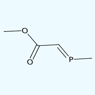 COC(=O)C=PC